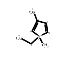 CC(C)(C)C[N+]1(C)C=CC(C(C)(C)C)=C1